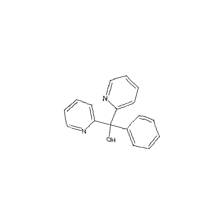 OC(c1ccccc1)(c1ccccn1)c1ccccn1